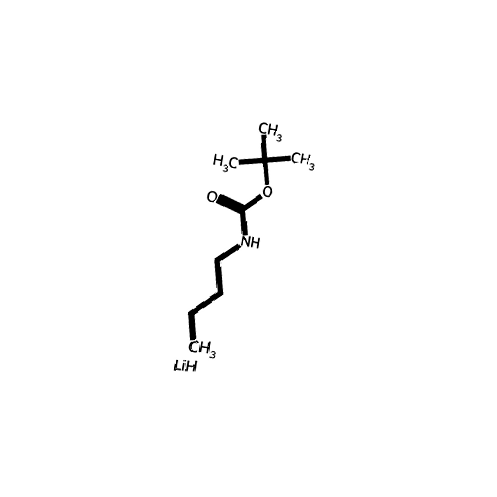 CCCCNC(=O)OC(C)(C)C.[LiH]